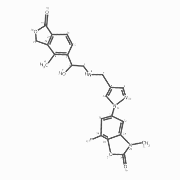 Cc1c(C(O)CNCc2cnn(-c3cc(F)c4oc(=O)n(C)c4c3)c2)ccc2c1COC2=O